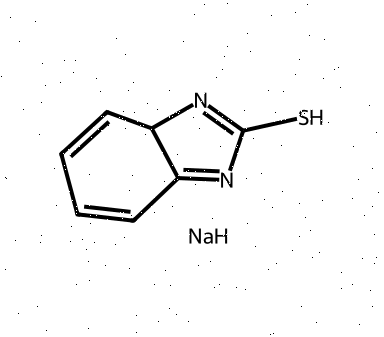 SC1=NC2C=CC=CC2=N1.[NaH]